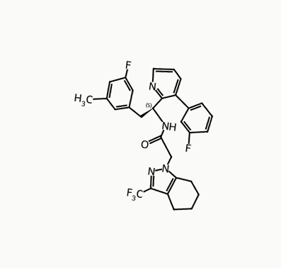 Cc1cc(F)cc(C[C@H](NC(=O)Cn2nc(C(F)(F)F)c3c2CCCC3)c2ncccc2-c2cccc(F)c2)c1